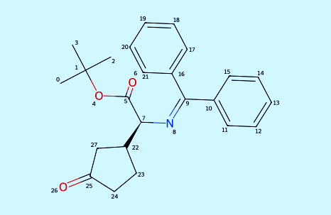 CC(C)(C)OC(=O)[C@@H](N=C(c1ccccc1)c1ccccc1)C1CCC(=O)C1